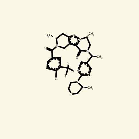 C[C@@H]1Cc2nn3c(c2CN1C(=O)c1ccc(Cl)c(C(F)(F)F)c1)C(=O)N([C@@H](C)c1cnc(N2CCOC[C@@H]2C)nc1)C[C@H]3C